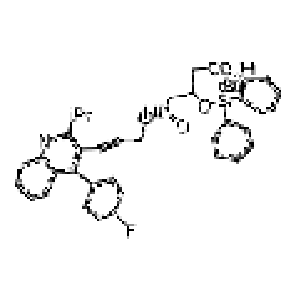 CC(C)c1nc2ccccc2c(-c2ccc(F)cc2)c1C#CCO[PH](=O)CC(CC(=O)O)O[Si](c1ccccc1)(c1ccccc1)C(C)(C)C